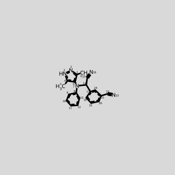 Cc1n[nH]c(C)c1N(c1ccccc1)C(C#N)c1cccc(C#N)c1